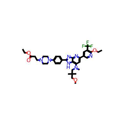 CCOC(=O)CCN1CCN(c2ccc(-c3nc4nc(-c5cnc(OCC)c(C(F)(F)F)c5)cc(N(C)CC(C)(C)COC)c4[nH]3)cc2)CC1